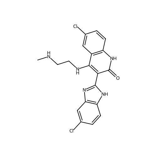 CNCCNc1c(-c2nc3cc(Cl)ccc3[nH]2)c(=O)[nH]c2ccc(Cl)cc12